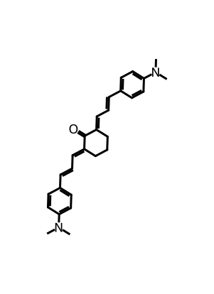 CN(C)c1ccc(C=CC=C2CCCC(=CC=Cc3ccc(N(C)C)cc3)C2=O)cc1